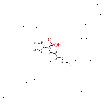 CCCC=CC(C(=O)O)C1CCCC1